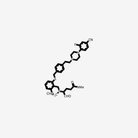 CNC(=O)CCC(C=O)N(C)Cc1c(C=O)cccc1SCc1ccc(CCN2CCN(c3ccc(C#N)cc3F)CC2)cc1